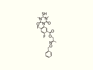 CC(COC(=O)c1cc(N2C(=O)N(C)C(S)N(C)C2=O)c(F)cc1F)=NOCc1ccccc1